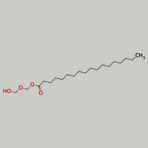 CCCCCCCCCCCCCCCCCC(=O)OCOCO